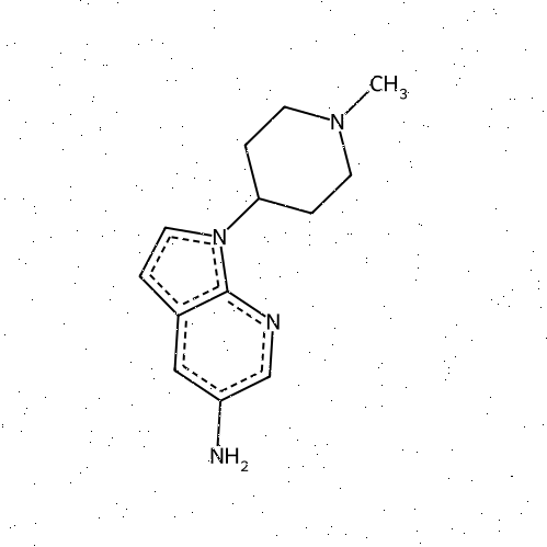 CN1CCC(n2ccc3cc(N)cnc32)CC1